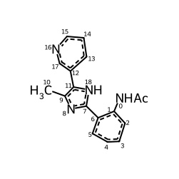 CC(=O)Nc1ccccc1-c1nc(C)c(-c2cccnc2)[nH]1